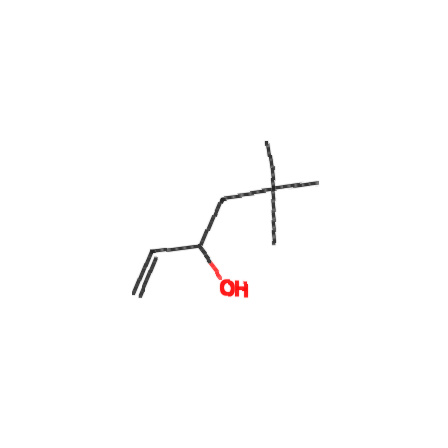 C=CC(O)CC(C)(C)C